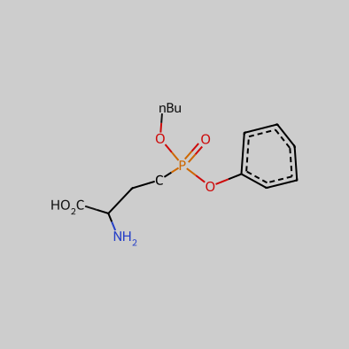 CCCCOP(=O)(CCC(N)C(=O)O)Oc1ccccc1